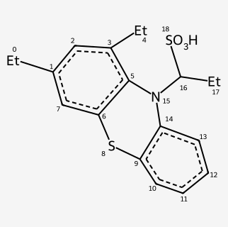 CCc1cc(CC)c2c(c1)Sc1ccccc1N2C(CC)S(=O)(=O)O